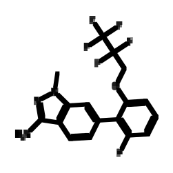 Cn1nc(N)c2ccc(-c3c(F)cccc3OCC(F)(F)C(F)(F)F)cc21